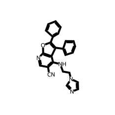 N#Cc1cnc2oc(-c3ccccc3)c(-c3ccccc3)c2c1NCCn1ccnc1